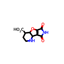 O=C1NC(=O)C2=C1OC1C(C(=O)O)CCNC21